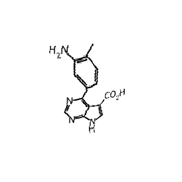 Cc1ccc(-c2ncnc3[nH]cc(C(=O)O)c23)cc1N